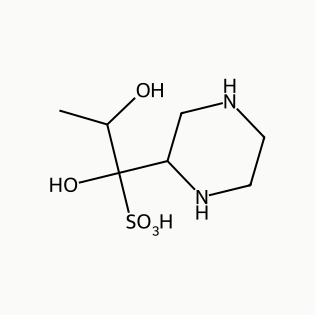 CC(O)C(O)(C1CNCCN1)S(=O)(=O)O